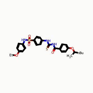 CCCCC(C)Oc1ccc(C(=O)NC(=S)Nc2ccc(S(=O)(=O)Nc3ccc(OCC)cc3)cc2)cc1